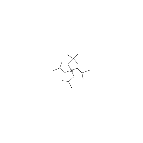 CC(C)C[Si](CC(C)C)(CC(C)C)CC(C)(C)C